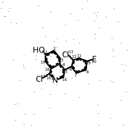 Oc1ccc2c(-c3ccc(F)cc3Cl)cnc(Cl)c2c1